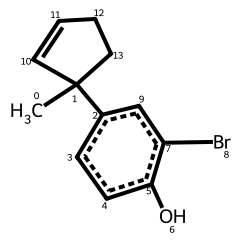 CC1(c2ccc(O)c(Br)c2)C=CCC1